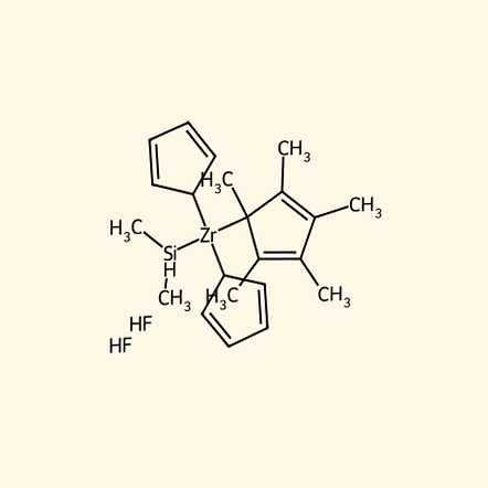 CC1=C(C)[C](C)([Zr]([CH]2C=CC=C2)([CH]2C=CC=C2)[SiH](C)C)C(C)=C1C.F.F